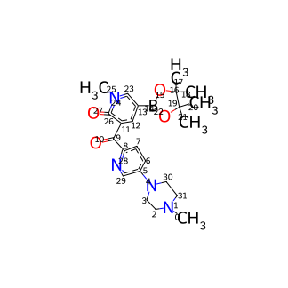 CN1CCN(c2ccc(C(=O)c3cc(B4OC(C)(C)C(C)(C)O4)cn(C)c3=O)nc2)CC1